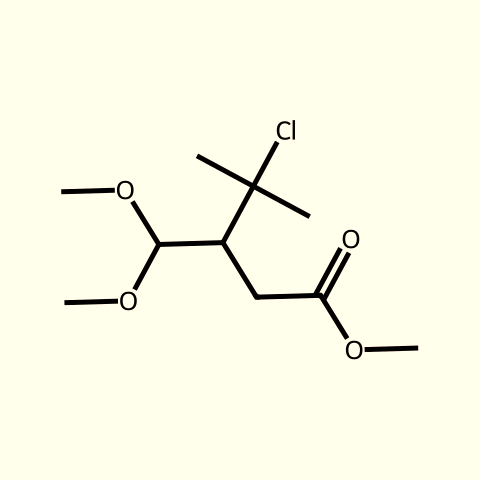 COC(=O)CC(C(OC)OC)C(C)(C)Cl